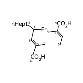 CC=C(C)C(=O)O.CCCCCCCC(F)C=C(C)C(=O)O